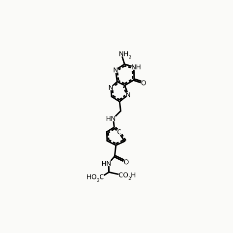 Nc1nc2ncc(CNc3ccc(C(=O)NC(C(=O)O)C(=O)O)cc3)nc2c(=O)[nH]1